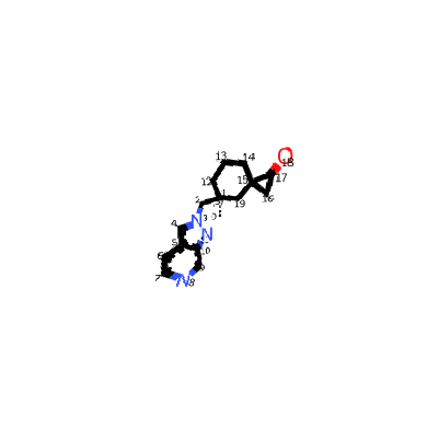 C[C@]1(Cn2cc3ccncc3n2)CCCC2(CC2=O)C1